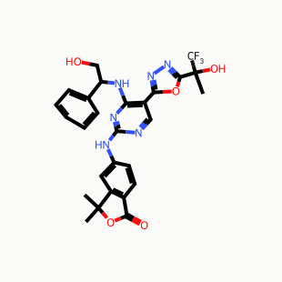 CC1(C)OC(=O)c2ccc(Nc3ncc(-c4nnc(C(C)(O)C(F)(F)F)o4)c(NC(CO)c4ccccc4)n3)cc21